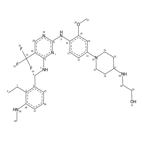 CCc1c(CNc2nc(Nc3ccc(N4CCC(NCCO)CC4)cc3OC)ncc2C(F)(F)F)cccc1NC